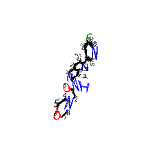 O=C(CN1CCOCC1)Nc1cc2nc(-c3cncc(F)c3)ccc2cn1